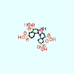 O=S(=O)(O)c1ccc2c(c1)c(S(=O)(=O)O)cc1oc3cc(S(=O)(=O)O)c4cc(S(=O)(=O)O)ccc4c3c12.[KH]